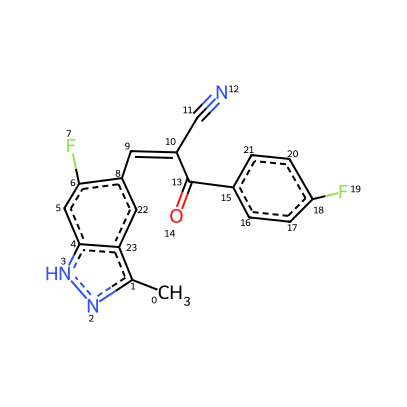 Cc1n[nH]c2cc(F)c(/C=C(/C#N)C(=O)c3ccc(F)cc3)cc12